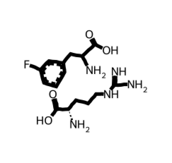 N=C(N)NCCC[C@H](N)C(=O)O.NC(Cc1cccc(F)c1)C(=O)O